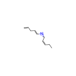 C=CC/C=C/N=C\C=C/CC